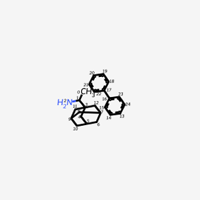 CC(N)C12CC3CC(CC(C3)C1)C2.c1ccc(-c2ccccc2)cc1